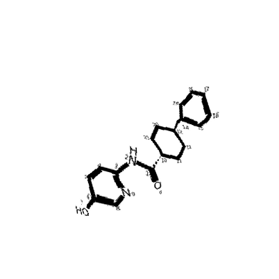 O=C(Nc1ccc(O)cn1)[C@H]1CC[C@H](c2ccccc2)CC1